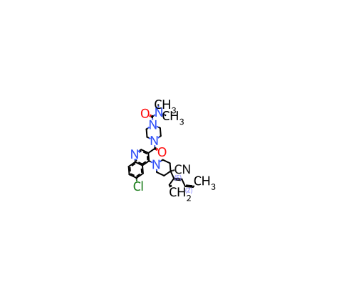 C=C/C(=C\C=C/C)C1(C#N)CCN(c2c(C(=O)N3CCN(C(=O)N(C)C)CC3)cnc3ccc(Cl)cc23)CC1